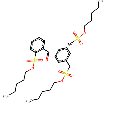 CCCCCOS(=O)(=O)Cc1ccccc1.CCCCCOS(=O)(=O)c1ccccc1C=O.CCCCCOS(C)(=O)=O